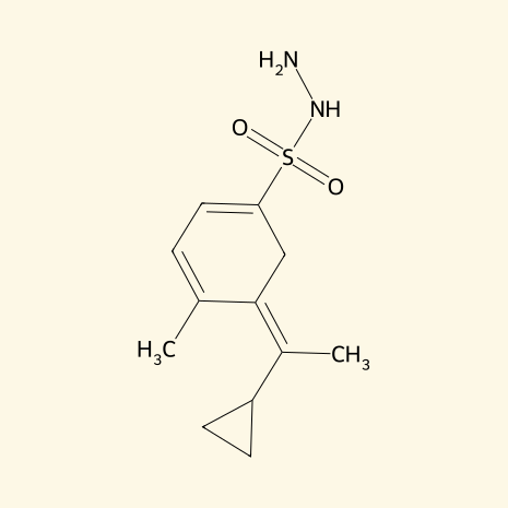 CC1=CC=C(S(=O)(=O)NN)CC1=C(C)C1CC1